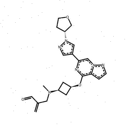 C=C(C=O)CN(C)[C@H]1C[C@@H](Oc2nc(-c3cnn([C@@H]4CCOC4)c3)cn3nccc23)C1